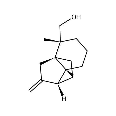 C=C1C[C@@]23CC[C@H]1[C@@]2(C)CCC[C@@]3(C)CO